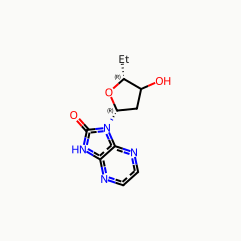 CC[C@H]1O[C@@H](n2c(=O)[nH]c3nccnc32)CC1O